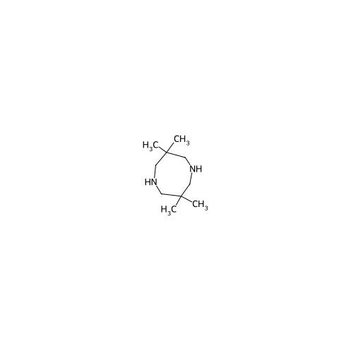 CC1(C)CNCC(C)(C)CNC1